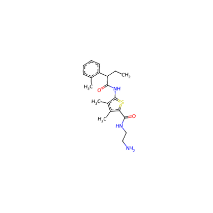 CCC(C(=O)Nc1sc(C(=O)NCCN)c(C)c1C)c1ccccc1C